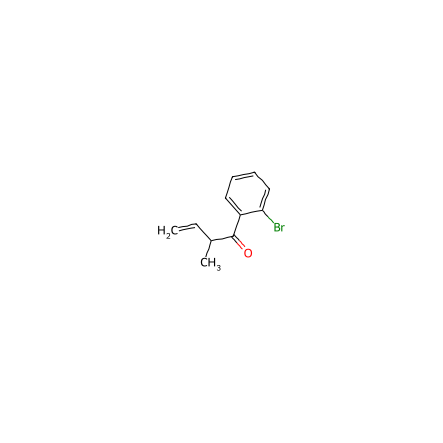 C=CC(C)C(=O)c1ccccc1Br